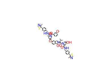 COc1cccc(C(=O)N2C[C@H](Oc3ccc4c(c3)CN([C@H](C(=O)N3C[C@@](C)(O)C[C@H]3C(=O)NCc3ccc(-c5scnc5C)cc3)C(C)C)C4=O)CC2(C)C(=O)NCc2ccc(-c3scnc3C)cc2)c1